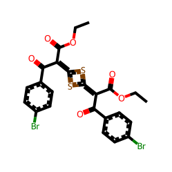 CCOC(=O)C(C(=O)c1ccc(Br)cc1)=c1sc(=C(C(=O)OCC)C(=O)c2ccc(Br)cc2)s1